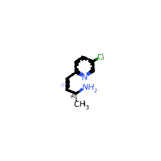 C[C@@H](N)/C=C\c1ccc(Cl)cn1